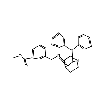 COC(=O)c1cccc(CN=C2C3CCN(CC3)C2C(c2ccccc2)c2ccccc2)c1